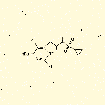 CCC1=NC(C(C)(C)C)C(C(C)C)=C2CC(NS(=O)(=O)C3CC3)CN12